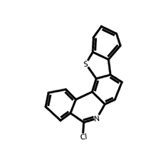 Clc1nc2ccc3c4ccccc4sc3c2c2ccccc12